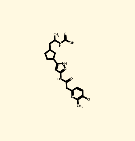 Cc1nc(CC(=O)Nc2cc(C3CCC(CC(C)NC(=O)O)C3)[nH]n2)ccc1Cl